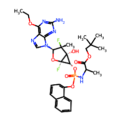 CCOc1nc(N)nc2c1ncn2[C@@H]1O[C@]2(F)[C@@H](OP(=O)(NC(C)C(=O)OCC(C)(C)C)Oc3cccc4ccccc34)[C@]2(O)[C@@]1(C)F